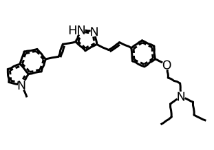 CCCN(CCC)CCOc1ccc(/C=C/c2cc(/C=C/c3ccc4ccn(C)c4c3)[nH]n2)cc1